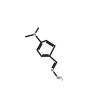 CN(C)c1ccc(C=NN)cc1